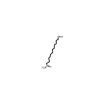 CCCCCCCCCCCCCCCCCCCCC[S+](N)[O-]